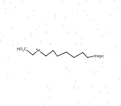 CCCCCCCCCCCCCC[Se]CC(=O)O